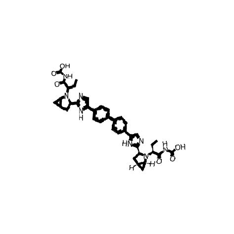 CCC(C(=O)NC(=O)O)N1C(c2ncc(-c3ccc(-c4ccc(-c5cnc([C@@H]6C[C@@H]7C[C@@H]7N6[C@@H](CC)C(=O)NC(=O)O)[nH]5)cc4)cc3)[nH]2)CC2CC21